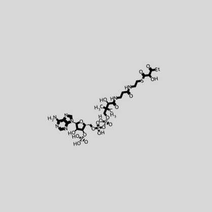 CCC(=O)C(O)C(=O)SCCNC(=O)CCNC(=O)[C@H](O)C(C)(C)COP(=O)(O)OP(=O)(O)OC[C@H]1O[C@@H](n2cnc3c(N)ncnc32)[C@H](O)[C@@H]1OP(=O)(O)O